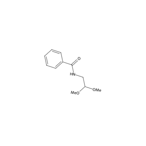 COC(CNC(=O)c1ccccc1)OC